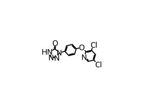 O=c1[nH]nnn1-c1ccc(Oc2ncc(Cl)cc2Cl)cc1